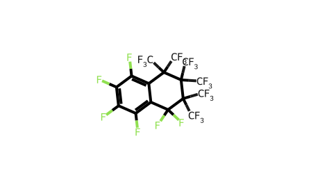 Fc1c(F)c(F)c2c(c1F)C(F)(F)C(C(F)(F)F)(C(F)(F)F)C(C(F)(F)F)(C(F)(F)F)C2(C(F)(F)F)C(F)(F)F